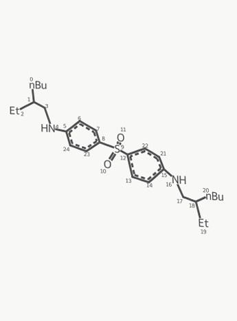 CCCCC(CC)CNc1ccc(S(=O)(=O)c2ccc(NCC(CC)CCCC)cc2)cc1